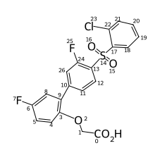 O=C(O)COc1ccc(F)cc1-c1ccc(S(=O)(=O)c2ccccc2Cl)c(F)c1